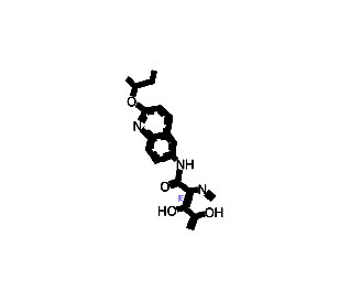 C=N/C(C(=O)Nc1ccc2nc(OC(C)CC)ccc2c1)=C(/O)C(=C)O